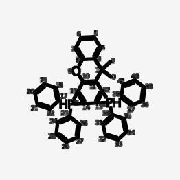 CC1(C)c2ccccc2Oc2c1c1c(c3c2[PH]3(c2ccccc2)c2ccccc2)[PH]1(c1ccccc1)c1ccccc1